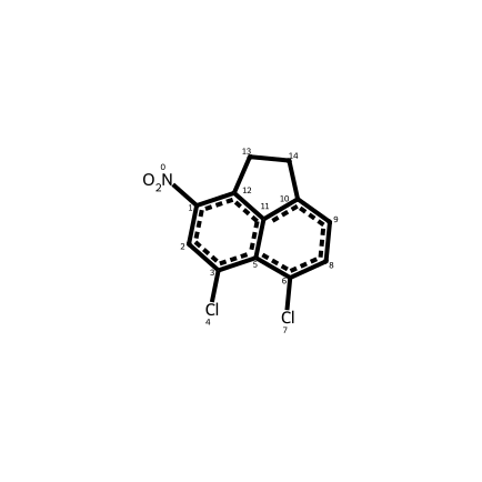 O=[N+]([O-])c1cc(Cl)c2c(Cl)ccc3c2c1CC3